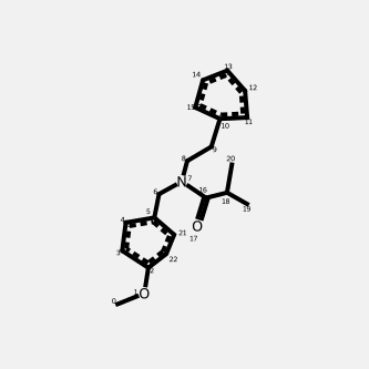 COc1ccc(CN(CCc2ccccc2)C(=O)C(C)C)cc1